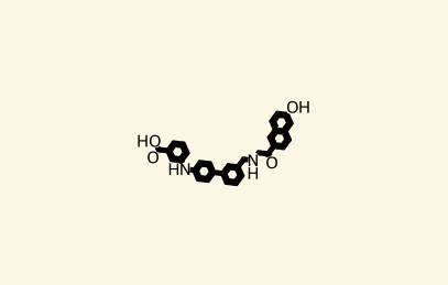 O=C(O)c1cccc(Nc2ccc(-c3cccc(CNCC(=O)c4ccc5cc(O)ccc5c4)c3)cc2)c1